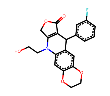 O=C1OCC2=C1C(c1cccc(F)c1)c1cc3c(cc1N2CCO)OCCO3